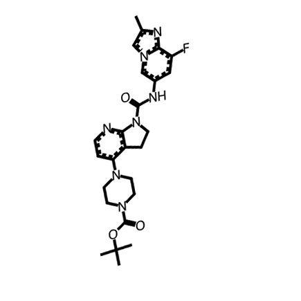 Cc1cn2cc(NC(=O)N3CCc4c(N5CCN(C(=O)OC(C)(C)C)CC5)ccnc43)cc(F)c2n1